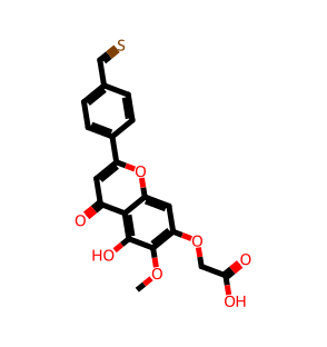 COc1c(OCC(=O)O)cc2oc(-c3ccc(C=S)cc3)cc(=O)c2c1O